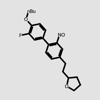 CCCCOc1ccc(-c2ccc(CCC3CCCO3)cc2N=O)cc1F